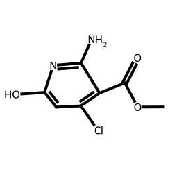 COC(=O)c1c(Cl)cc(O)nc1N